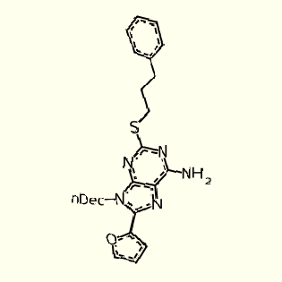 CCCCCCCCCCn1c(-c2ccco2)nc2c(N)nc(SCCCc3ccccc3)nc21